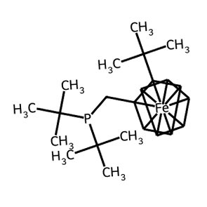 CC(C)(C)P(C[C]12[CH]3[CH]4[CH]5[C]1(C(C)(C)C)[Fe]43521678[CH]2[CH]1[CH]6[CH]7[CH]28)C(C)(C)C